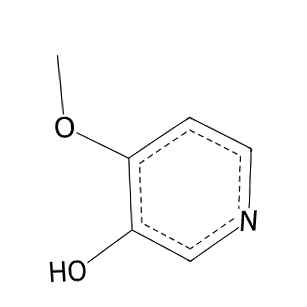 COc1ccncc1O